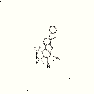 N#Cc1c(C#N)c(C(F)(F)F)c(C(F)(F)F)c2c1C=c1c-2ccc2c1=Cc1ccccc1-2